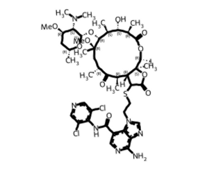 CO[C@@H]1C[C@@H](C)O[C@@H](O[C@@H]2[C@@H](C)[C@H](O)[C@@H](C)C(=O)O[C@H](I)[C@@]3(C)OC(=O)C(SCCn4cnc5c(N)ncc(C(=O)Nc6c(Cl)cncc6Cl)c54)[C@@H]3[C@@H](C)C(=O)[C@H](C)C[C@@]2(C)OC)[C@H]1N(C)C